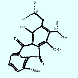 COc1cccc2c1C(=O)c1c(OC)c([C@H](C)O)c(C[C@@H](C)O)c(O)c1C2=O